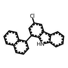 Clc1cc(-c2cccc3ccccc23)c2[nH]c3ccccc3c2c1